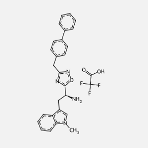 Cn1cc(C[C@H](N)c2nc(Cc3ccc(-c4ccccc4)cc3)no2)c2ccccc21.O=C(O)C(F)(F)F